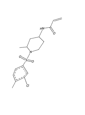 C=CC(=O)NC1CCN(S(=O)(=O)c2ccc(C)c(Cl)c2)C(C)C1